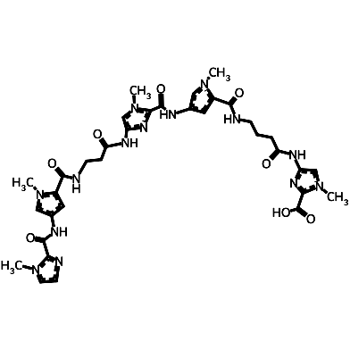 Cn1cc(NC(=O)c2nc(NC(=O)CCNC(=O)c3cc(NC(=O)c4nccn4C)cn3C)cn2C)cc1C(=O)NCCCC(=O)Nc1cn(C)c(C(=O)O)n1